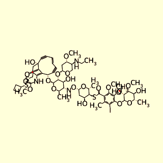 CCN[C@H]1CO[C@@H](O[C@H]2[C@H](O[C@H]3C#C/C=C/C#C[C@]4(O)CC(=O)C(NC(=O)OC)=C3/C4=C\CSSC3CCC3)O[C@H](C)[C@@H](NO[C@H]3C[C@H](O)[C@H](SC(=O)c4c(C)c(I)c(O[C@@H]5O[C@@H](C)[C@H](O)[C@@H](OC)[C@H]5O)c(OC)c4OC)[C@@H](C)O3)[C@@H]2O)C[C@@H]1OC